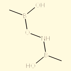 CB(O)NOB(C)O